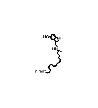 CCCCC/C=C\C/C=C\C/C=C\C/C=C\CCCC(=O)NCCC1CNc2ccc(O)cc21